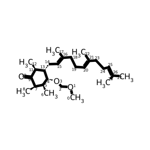 COCO[C@@H]1[C@@H](C)[C@@H](C)C(=O)[C@@H](C)[C@@H]1C/C=C(\C)CC/C=C(\C)CCC=C(C)C